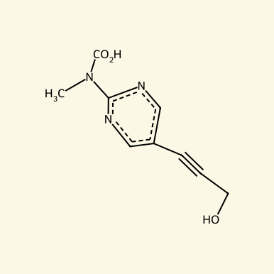 CN(C(=O)O)c1ncc(C#CCO)cn1